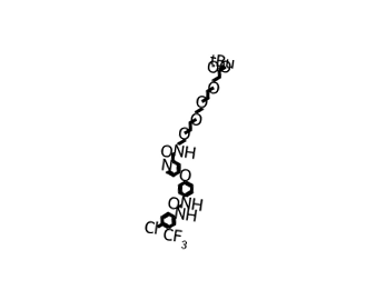 CC(C)(C)OC(=O)CCOCCOCCOCCOCCNC(=O)c1cc(Oc2ccc(NC(=O)Nc3ccc(Cl)c(C(F)(F)F)c3)cc2)ccn1